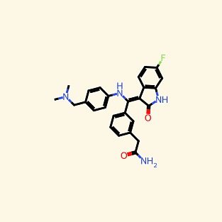 CN(C)Cc1ccc(NC(=C2C(=O)Nc3cc(F)ccc32)c2cccc(CC(N)=O)c2)cc1